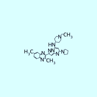 CCN1CCC(Nc2cc(N3CCCC3)nc3cc(-c4nc5cc(C)ccc5nc4C)nn23)CC1